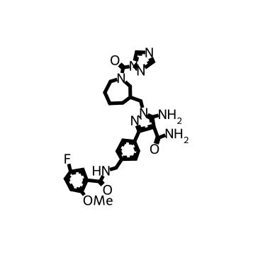 COc1ccc(F)cc1C(=O)NCc1ccc(-c2nn(CC3CCCCN(C(=O)n4cncn4)C3)c(N)c2C(N)=O)cc1